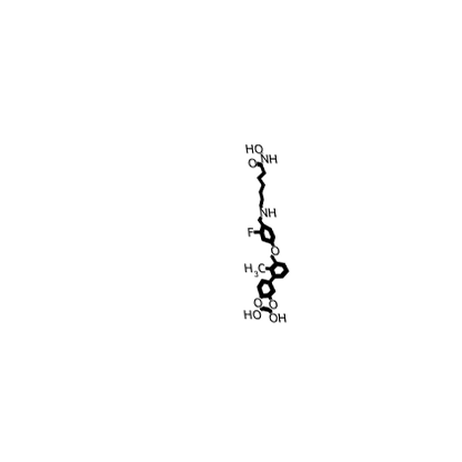 Cc1c(COc2ccc(CNCCCCCCC(=O)NO)c(F)c2)cccc1-c1ccc2c(c1)OC(O)=C(O)O2